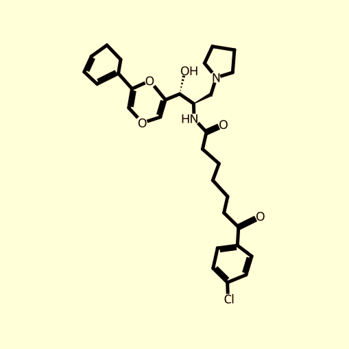 O=C(CCCCCC(=O)c1ccc(Cl)cc1)N[C@H](CN1CCCC1)[C@@H](O)C1=COC=C(C2=CC=CCC2)O1